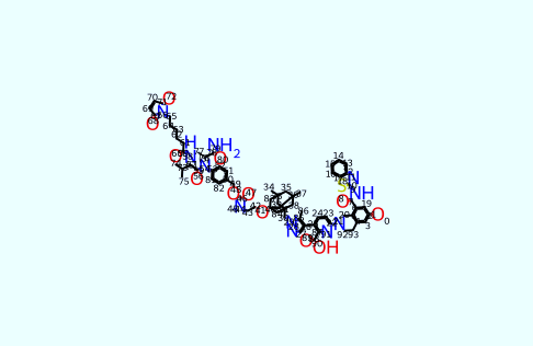 COc1cc2c(c(C(=O)Nc3nc4ccccc4s3)c1)CN(c1ccc(-c3cnn(CC45CC6(C)CC(C)(C4)CC(OCCN(C)C(=O)OCc4ccc(N(C(=O)[C@@H](NC(=O)CCCCCN7C(=O)C=CC7=O)C(C)C)[C@@H](C)C(N)=O)cc4)(C6)C5)c3C)c(C(=O)O)n1)CC2